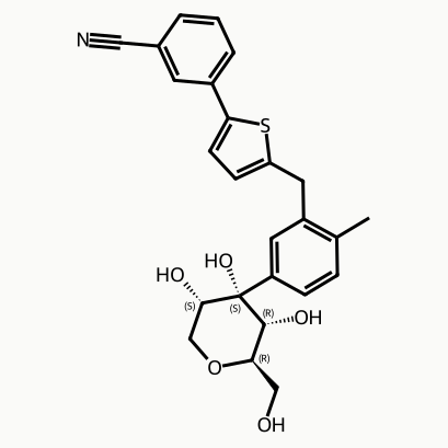 Cc1ccc([C@@]2(O)[C@H](O)[C@@H](CO)OC[C@@H]2O)cc1Cc1ccc(-c2cccc(C#N)c2)s1